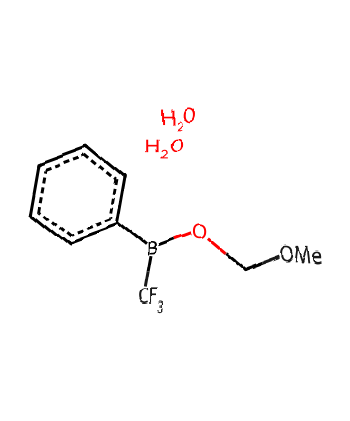 COCOB(c1ccccc1)C(F)(F)F.O.O